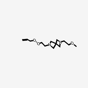 C=CCOOCCN1CC2(CN(CCOC)C2)C1